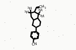 [2H]C1([2H])CC2CC(c3ccc(C#N)cc3)CCC2C([2H])([2H])C1C=C